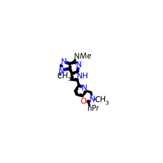 CCCC(=O)N(C)Cc1cccc(-c2cc3c(nc(NC)c4ncn(C)c43)[nH]2)n1